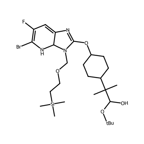 CC(C)(C)OC(O)C(C)(C)C1CCC(OC2=NC3=CC(F)=C(Br)NC3N2COCC[Si](C)(C)C)CC1